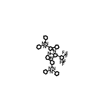 N#Cc1c(-n2c3ccccc3c3cc(-c4nc(-c5ccccc5)nc(-c5ccccc5)n4)ccc32)cc(-c2cc(C(F)(F)F)cc(C(F)(F)F)c2)cc1-n1c2ccccc2c2cc(-c3nc(-c4ccccc4)nc(-c4ccccc4)n3)ccc21